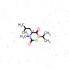 CC(C)C[C@@H](C(=O)OC(C)C)N(C)C(=O)Cl